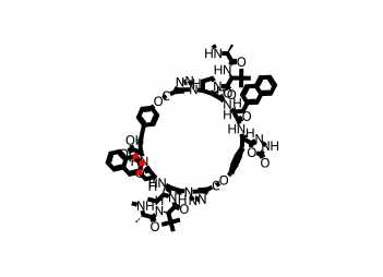 CCCN(C(=O)[C@@H](NC(=O)[C@H](C)NC)C(C)(C)C)[C@@H]1C(=O)N[C@@H](Cc2ccc3ccccc3c2)C(=O)N[C@H](C(=O)O)Cc2ccc(cc2)OCc2cn(nn2)[C@@H]2CCN(C(=O)[C@@H](NC(=O)[C@H](C)NC)C(C)(C)C)[C@@H]2C(=O)N[C@@H](Cc2ccc3ccccc3c2)C(=O)N[C@H](c2n[nH]c(=O)o2)c2ccc(cc2)OCc2cn1nn2